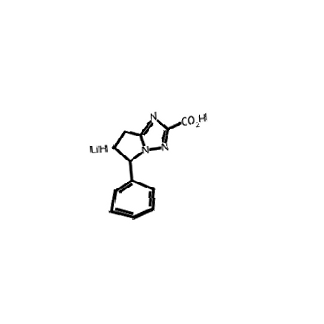 O=C(O)c1nc2n(n1)C(c1ccccc1)CC2.[LiH]